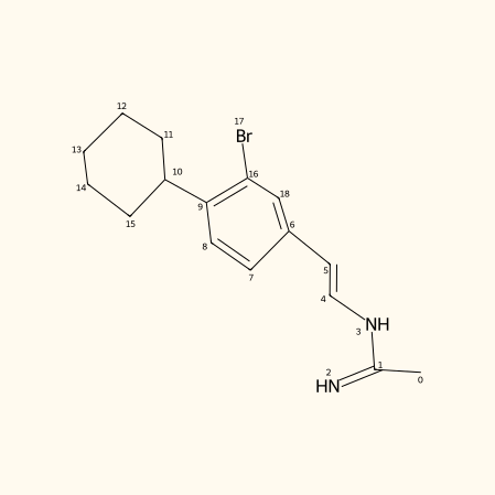 CC(=N)NC=Cc1ccc(C2CCCCC2)c(Br)c1